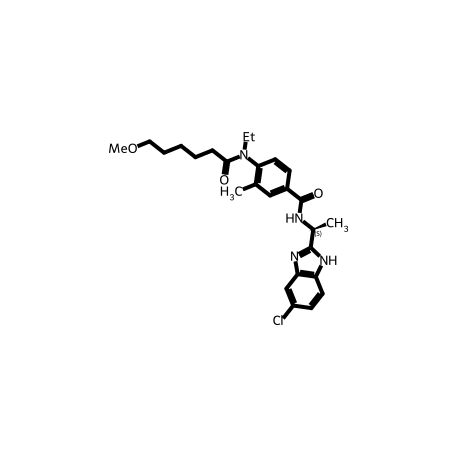 CCN(C(=O)CCCCCOC)c1ccc(C(=O)N[C@@H](C)c2nc3cc(Cl)ccc3[nH]2)cc1C